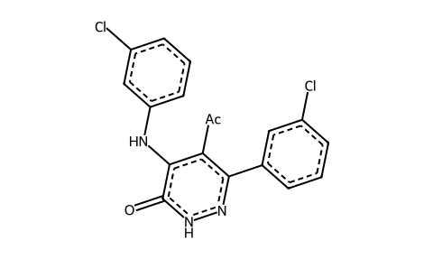 CC(=O)c1c(-c2cccc(Cl)c2)n[nH]c(=O)c1Nc1cccc(Cl)c1